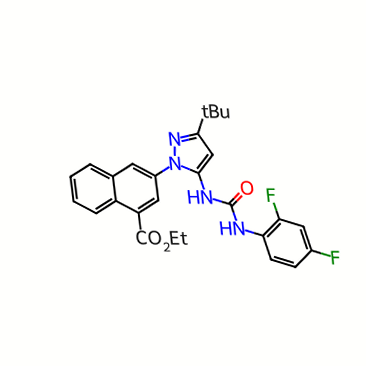 CCOC(=O)c1cc(-n2nc(C(C)(C)C)cc2NC(=O)Nc2ccc(F)cc2F)cc2ccccc12